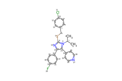 CC(C)n1c(SCc2ccc(Cl)cc2)nc(-c2ccc(F)cc2)c1-c1ccncc1